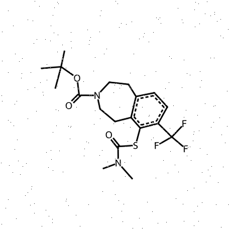 CN(C)C(=O)Sc1c(C(F)(F)F)ccc2c1CCN(C(=O)OC(C)(C)C)CC2